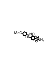 CO[C@H]1CC[C@@H](CNc2ccc(S(N)(=O)=O)cc2[N+](=O)[O-])CC1